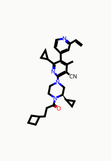 C=Cc1cc(-c2c(C3CC3)nc(N3CCN(C(=O)CCC4CCC4)[C@H](C4CC4)C3)c(C#N)c2C)ccn1